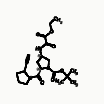 CCOC(=O)C(=O)N[C@H]1C[C@@H](C(=O)N2CCCC2C#N)N(C(=O)OC(C)(C)C)C1